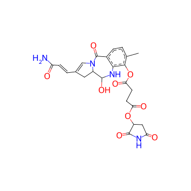 Cc1ccc2c(c1OC(=O)CCC(=O)OC1CC(=O)NC1=O)NC(O)C1CC(C=CC(N)=O)=CN1C2=O